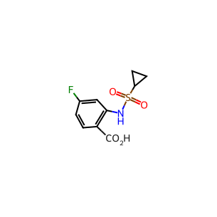 O=C(O)c1ccc(F)cc1NS(=O)(=O)C1CC1